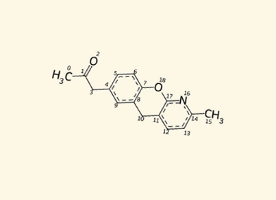 CC(=O)Cc1ccc2c(c1)Cc1ccc(C)nc1O2